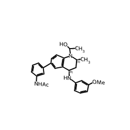 COc1cccc(N[C@@H]2C[C@H](C)N(C(C)O)c3ccc(-c4cccc(NC(C)=O)c4)cc32)c1